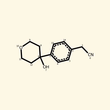 N#CCc1ccc(C2(O)CCOCC2)cc1